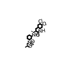 COc1cc2[nH]c(=O)c([C@H](C)Nc3cccc(N(CC(C)C)S(C)(=O)=O)c3)cc2cc1Cl